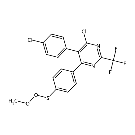 COOSc1ccc(-c2nc(C(F)(F)F)nc(Cl)c2-c2ccc(Cl)cc2)cc1